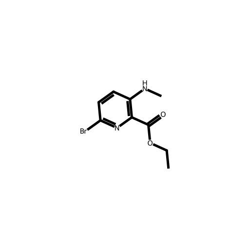 CCOC(=O)c1nc(Br)ccc1NC